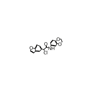 O=C(Nc1ccc2c(c1)OCCO2)C(Cl)c1ccc2occc2c1